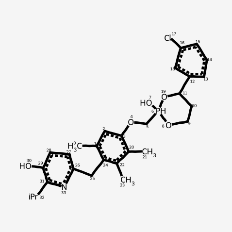 Cc1cc(OC[PH]2(O)OCCC(c3cccc(Cl)c3)O2)c(C)c(C)c1Cc1ccc(O)c(C(C)C)n1